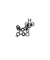 CC1(C)CCC(CN2CC3CCC(C2)N3Cc2ccc3c(c2)CN(N2CCC(=O)NC2=O)C3=O)=C(c2ccc(Cl)cc2)C1